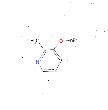 CCCOc1c[c]cnc1C